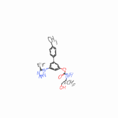 CCc1nnnn1-c1cc(OC(=O)N[C@H](C)CO)cc(-c2ccc(C)cc2)c1